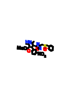 COC(=O)C1=C(C)NC(C)=C(c2nc(C[S+]([O-])Cc3ccccc3)no2)C1c1cccc([N+](=O)[O-])c1